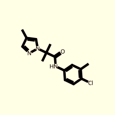 Cc1cnn(C(C)(C)C(=O)Nc2ccc(Cl)c(C)c2)c1